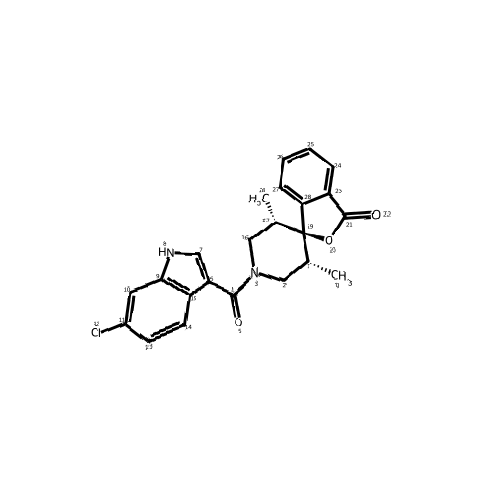 C[C@@H]1CN(C(=O)c2c[nH]c3cc(Cl)ccc23)C[C@H](C)[C@@]12OC(=O)c1ccccc12